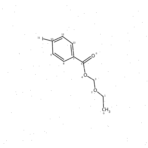 CCOCOC(=O)c1ccc(I)cc1